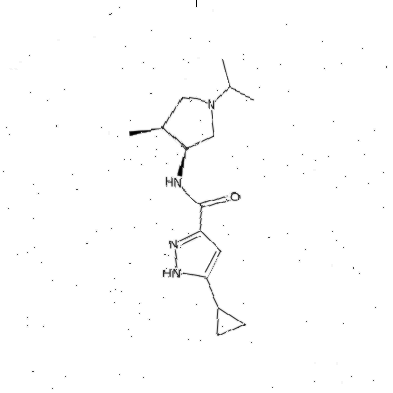 CC(C)N1C[C@H](C)[C@H](NC(=O)c2cc(C3CC3)[nH]n2)C1